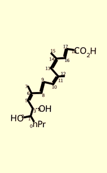 CCCC(O)[C@@H](O)C=C(C)C=CC=C(C)C=C(C)C=CC(=O)O